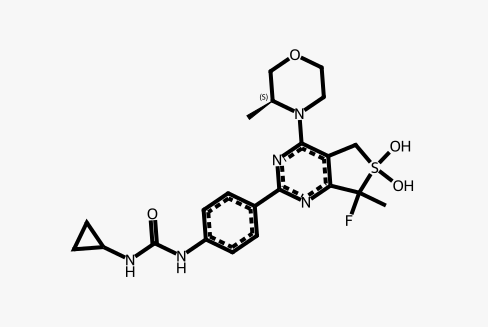 C[C@H]1COCCN1c1nc(-c2ccc(NC(=O)NC3CC3)cc2)nc2c1CS(O)(O)C2(C)F